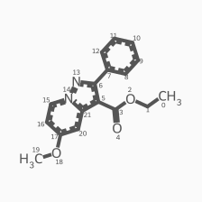 CCOC(=O)c1c(-c2ccccc2)nn2ccc(OC)cc12